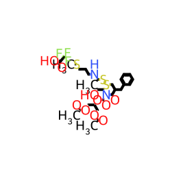 CSCCCNCSSCC(Cc1ccccc1)C(=O)N(CC(C)O)C(=O)OC(COC(C)=O)COC(C)=O.O=C(O)C(F)(F)F